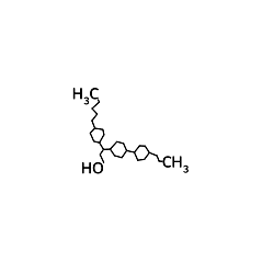 CCCCCC1CCC(C(CCO)C2CCC(C3CCC(CCC)CC3)CC2)CC1